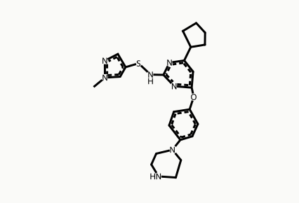 Cn1cc(SNc2nc(Oc3ccc(N4CCNCC4)cc3)cc(C3CCCC3)n2)cn1